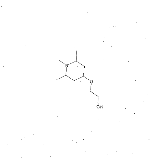 CC1CC(OCCO)CC(C)N1C